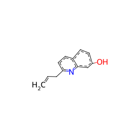 C=CCc1ccc2ccc(O)cc2n1